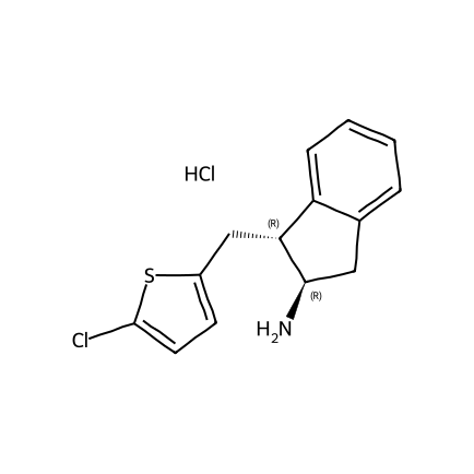 Cl.N[C@@H]1Cc2ccccc2[C@H]1Cc1ccc(Cl)s1